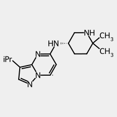 CC(C)c1cnn2[c]cc(N[C@H]3CCC(C)(C)NC3)nc12